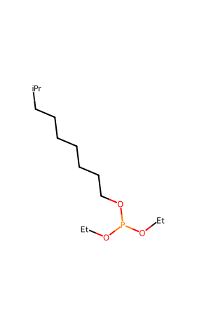 CCOP(OCC)OCCCCCCCC(C)C